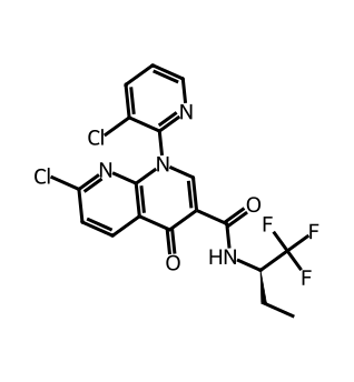 CC[C@@H](NC(=O)c1cn(-c2ncccc2Cl)c2nc(Cl)ccc2c1=O)C(F)(F)F